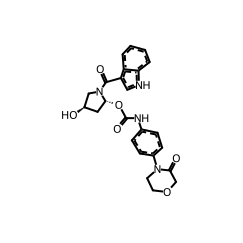 O=C(Nc1ccc(N2CCOCC2=O)cc1)O[C@@H]1C[C@@H](O)CN1C(=O)c1c[nH]c2ccccc12